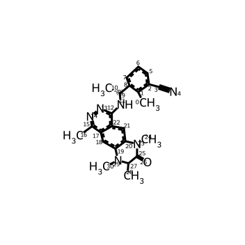 Cc1c(C#N)cccc1[C@@H](C)Nc1nnc(C)c2cc3c(cc12)N(C)C(=O)C(C)N3C